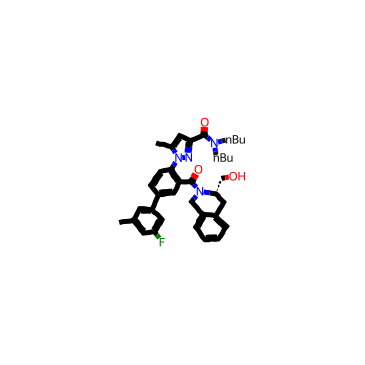 CCCCN(CCCC)C(=O)c1cc(C)n(-c2ccc(-c3cc(C)cc(F)c3)cc2C(=O)N2Cc3ccccc3C[C@H]2CO)n1